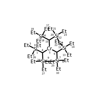 CC[Si](CC)(CC)[CH]([Cr]([CH]([Si](CC)(CC)CC)[Si](CC)(CC)CC)[CH]([Si](CC)(CC)CC)[Si](CC)(CC)CC)[Si](CC)(CC)CC